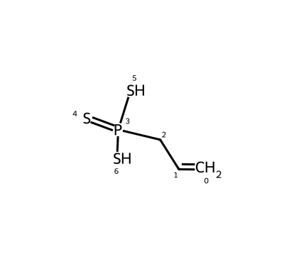 C=CCP(=S)(S)S